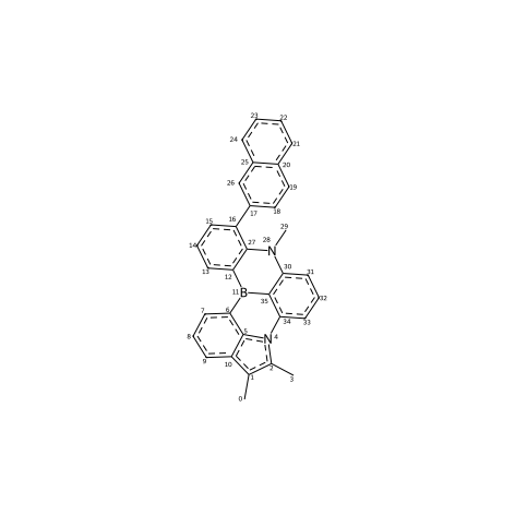 Cc1c(C)n2c3c(cccc13)B1c3cccc(-c4ccc5ccccc5c4)c3N(C)c3cccc-2c31